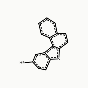 Sc1ccc2sc3ccc4ccccc4c3c2c1